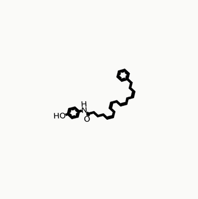 O=C(CCC/C=C\C/C=C\C/C=C\C/C=C\CCc1ccccc1)Nc1ccc(O)cc1